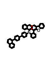 c1ccc(N(c2ccc(-c3ccc(-c4cccc5ccccc45)cc3)cc2)c2cccc3ccccc23)c(-c2cccc3c2oc2ccccc23)c1